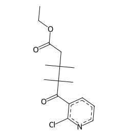 CCOC(=O)CC(C)(C)C(C)(C)C(=O)c1cccnc1Cl